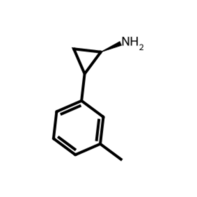 Cc1cccc(C2C[C@H]2N)c1